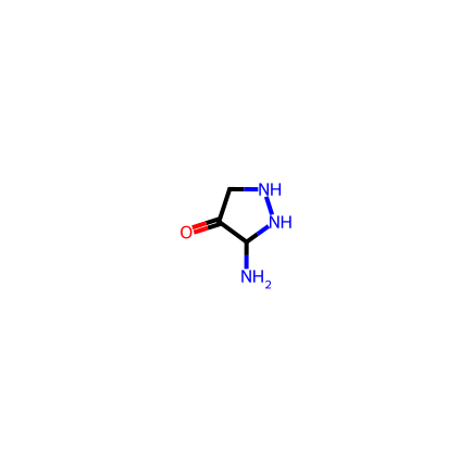 NC1NNCC1=O